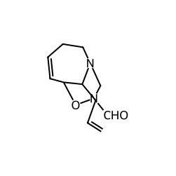 C=CCC1C2C=CCCN1CN(C=O)O2